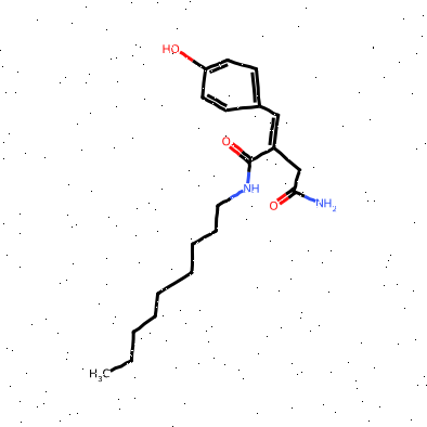 CCCCCCCCCNC(=O)C(=Cc1ccc(O)cc1)CC(N)=O